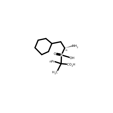 CCCC(C)(C(=O)O)P(=O)(O)[C@@H](N)CC1CCCCC1